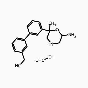 CC1(c2cccc(-c3cccc(CC#N)c3)c2)CNCC(N)O1.O=CO